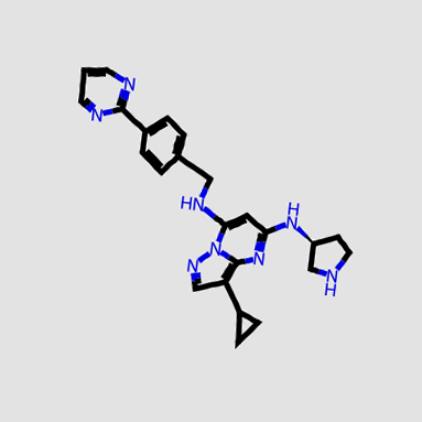 c1cnc(-c2ccc(CNc3cc(N[C@H]4CCNC4)nc4c(C5CC5)cnn34)cc2)nc1